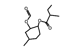 CCC(C)C(=O)OC1CCC(C)CC1OC=O